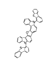 c1ccc2c(c1)sc1c(-n3c4ccccc4c4c5oc6c(ccc7c6c6ccccc6n7-c6cccc7c6sc6ccccc67)c5ccc43)cccc12